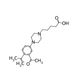 C=C(C)c1ccc(N2CCN(CCCCC(=O)O)CC2)cc1C(C)=O